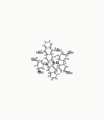 CCCCc1c2ccccc2c(CCCC)c2cc3c(cc12)B1c2c(cc4ccccc4c2-c2cc(C(C)(C)C)cc4c5cc(C(C)(C)C)ccc5n1c24)N3c1cc(C(C)(C)C)cc(C(C)(C)C)c1